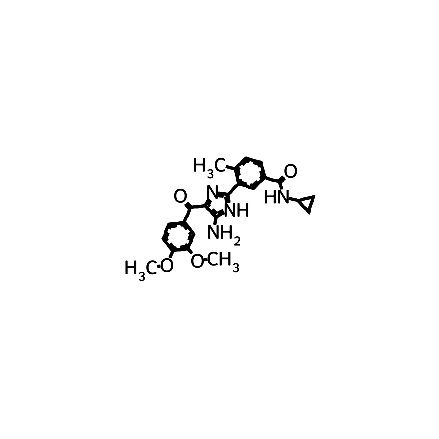 COc1ccc(C(=O)c2nc(-c3cc(C(=O)NC4CC4)ccc3C)[nH]c2N)cc1OC